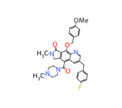 COc1ccc(COc2c3c(c(C(=O)N4CCN(C)CC4)c4cc(Cc5ccc(F)cc5)cnc24)CN(C)C3=O)cc1